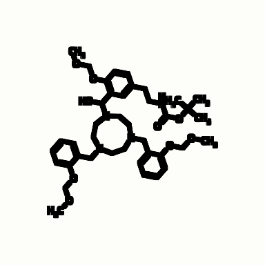 COCOc1ccccc1CN1CCN(Cc2ccccc2OCOC)CCN(C(O)c2cc(CCNC(=O)OC(C)(C)C)ccc2OCOC)CC1